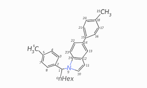 CCCCCCC(c1ccc(C)cc1)n1ccc2cc(-c3ccc(C)cc3)ccc21